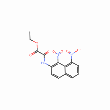 CCOC(=O)C(=O)Nc1ccc2cccc([N+](=O)[O-])c2c1[N+](=O)[O-]